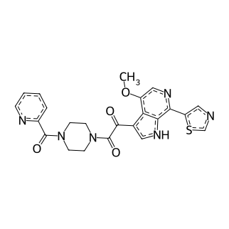 COc1cnc(-c2cncs2)c2[nH]cc(C(=O)C(=O)N3CCN(C(=O)c4ccccn4)CC3)c12